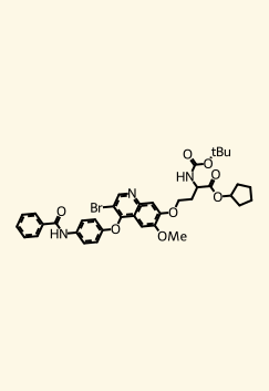 COc1cc2c(Oc3ccc(NC(=O)c4ccccc4)cc3)c(Br)cnc2cc1OCCC(NC(=O)OC(C)(C)C)C(=O)OC1CCCC1